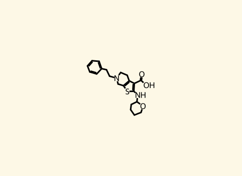 O=C(O)c1c(NC2CCCCO2)sc2c1CCN(CCc1ccccc1)C2